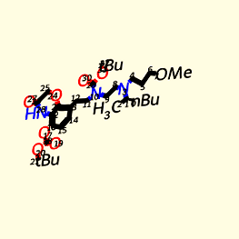 CCCC[C@@H](C)N(CCCOC)CCN(CCc1ccc(OC(=O)OC(C)(C)C)c2c1OCC(=O)N2)C(=O)OC(C)(C)C